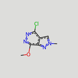 COc1nnc(Cl)c2cn(C)nc12